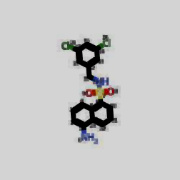 Nc1cccc2c(S(=O)(=O)NCc3cc(Cl)cc(Cl)c3)cccc12